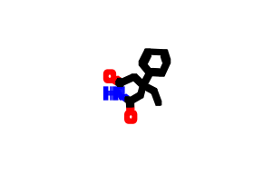 CCC1(c2ccccc2)CC(=O)NC(=O)C1